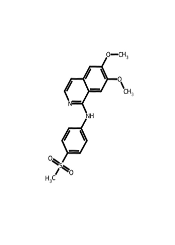 COc1cc2ccnc(Nc3ccc(S(C)(=O)=O)cc3)c2cc1OC